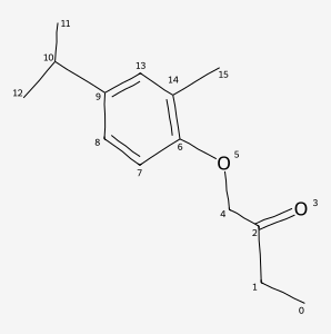 CCC(=O)COc1ccc(C(C)C)cc1C